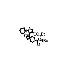 CCOC(=O)c1cnn(-c2ccccc2C(F)(F)F)c1C1=CCC12CCN(C(=O)OC(C)(C)C)CC2